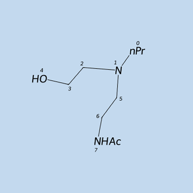 CCCN(CCO)CCNC(C)=O